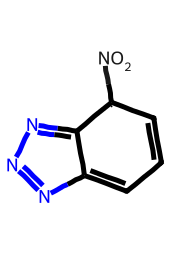 O=[N+]([O-])[C]1C=CC=C2N=NN=C12